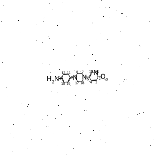 COc1ccc(N2CCN(c3ccc(N)cc3)CC2)cn1